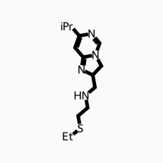 CCSCCNCC1CN2C=NC(C(C)C)=CC2=N1